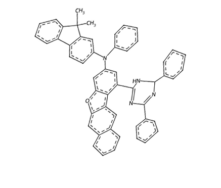 CC1(C)c2ccccc2-c2ccc(N(c3ccccc3)c3cc(C4=NC(c5ccccc5)=NC(c5ccccc5)N4)c4c(c3)oc3cc5ccccc5cc34)cc21